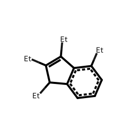 CCC1=C(CC)C(CC)c2cccc(CC)c21